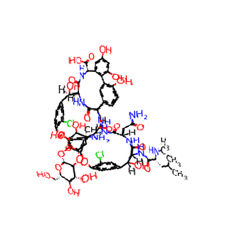 CN[C@H](CC(C)C)C(=O)N[C@H]1C(=O)N[C@@H](CC(N)=O)C(=O)N[C@H]2C(=O)N[C@H]3C(=O)N[C@H](C(=O)N[C@@H](C(=O)O)c4cc(O)cc(O)c4-c4cc3ccc4O)[C@H](O)c3ccc(c(Cl)c3)Oc3cc2cc(c3O[C@H]2O[C@@H](CO)[C@H](O)[C@@H](O)[C@@H]2O[C@H]2C[C@](C)(N)[C@H](O)[C@H](O)O2)Oc2ccc(cc2Cl)[C@H]1O